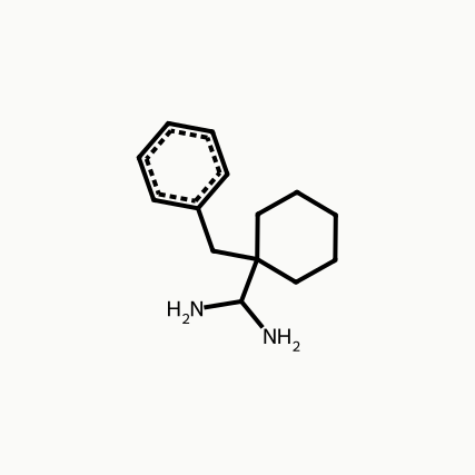 NC(N)C1(Cc2ccccc2)CCCCC1